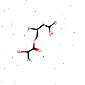 CCC(O)CC(CC)COC(=O)C(C)O